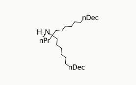 CCCCCCCCCCCCCCCCC(N)(CCC)CCCCCCCCCCCCCCCC